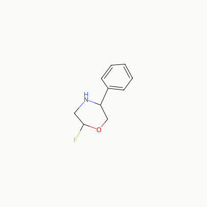 FC1CNC(c2ccccc2)CO1